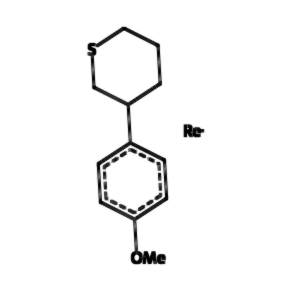 COc1ccc(C2CCCSC2)cc1.[Re]